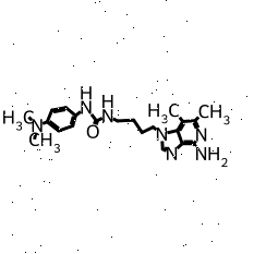 Cc1nc(N)c2ncn(CCCCNC(=O)Nc3ccc(N(C)C)cc3)c2c1C